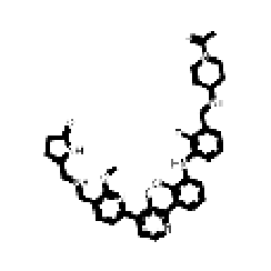 COc1nc(-c2ccnc(-c3cccc(Nc4cccc(CNC5CCN(C(C)=O)CC5)c4F)c3Cl)c2Cl)ccc1CNCC1CCC(=O)N1